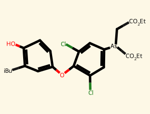 CCOC(=O)C[As](C(=O)OCC)c1cc(Cl)c(Oc2ccc(O)c(C(C)CC)c2)c(Cl)c1